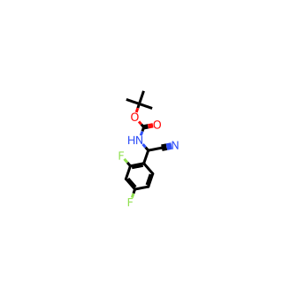 CC(C)(C)OC(=O)NC(C#N)c1ccc(F)cc1F